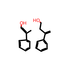 C=C(CCO)c1ccccc1.CC(=CO)c1ccccc1